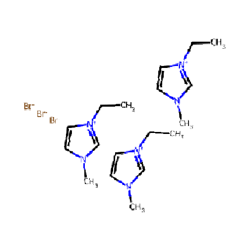 CC[n+]1ccn(C)c1.CC[n+]1ccn(C)c1.CC[n+]1ccn(C)c1.[Br-].[Br-].[Br-]